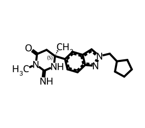 CN1C(=N)N[C@](C)(c2ccc3nn(CC4CCCC4)cc3c2)CC1=O